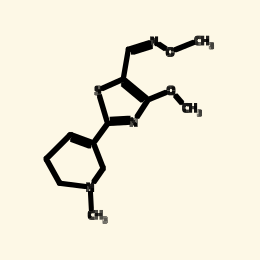 CO/N=C\c1sc(C2=CCCN(C)C2)nc1OC